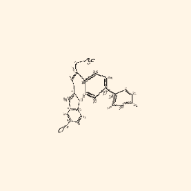 CC(=O)CC(CC1=Nc2cc(Cl)ccc2C1)c1ccc(-c2ccccc2)cc1